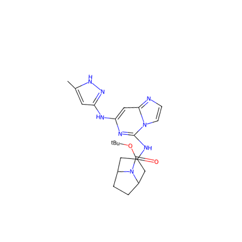 Cc1cc(Nc2cc3nccn3c(NC3CC4CCC(C3)N4C(=O)OC(C)(C)C)n2)n[nH]1